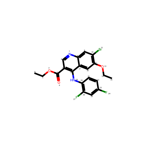 CCOC(=O)c1cnc2cc(Br)c(OCC)cc2c1Nc1ccc(F)cc1F